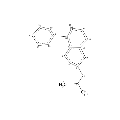 CC(C)Cc1ccc2c(-c3ccccc3)nccc2c1